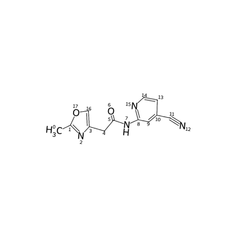 Cc1nc(CC(=O)Nc2cc(C#N)ccn2)co1